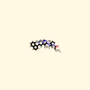 C=CC(=O)N1CC[C@@H]2[C@H]1CN2c1ncnc(/C(F)=C(\N=C)c2cccc3cccc(CC)c23)c1C